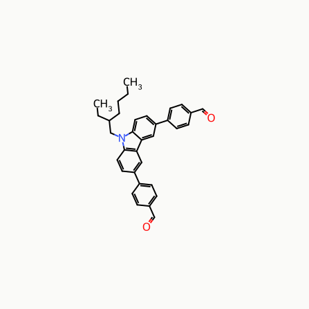 CCCCC(CC)Cn1c2ccc(-c3ccc(C=O)cc3)cc2c2cc(-c3ccc(C=O)cc3)ccc21